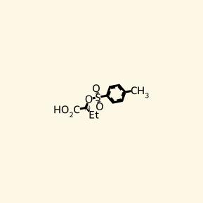 CC[C@H](OS(=O)(=O)c1ccc(C)cc1)C(=O)O